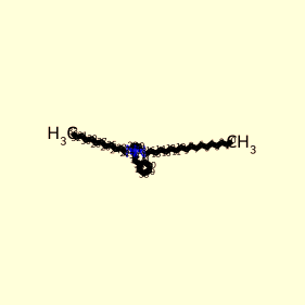 CCCCCCCCCCCCCCCCCCN1C=CN(CCCCCCCCCCCC)C1Cc1ccccc1